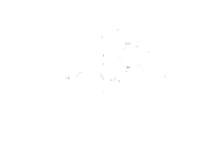 CC(C)C(OC(=O)Nc1c2c(cc3c1CCC3)CCC2)C(=O)O